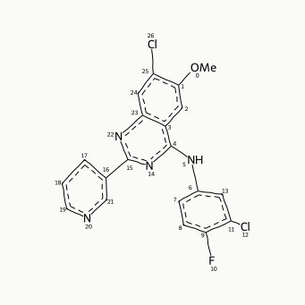 COc1cc2c(Nc3ccc(F)c(Cl)c3)nc(-c3cccnc3)nc2cc1Cl